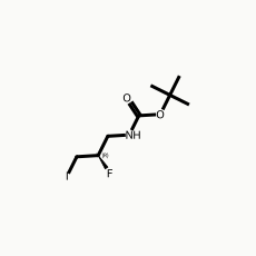 CC(C)(C)OC(=O)NC[C@@H](F)CI